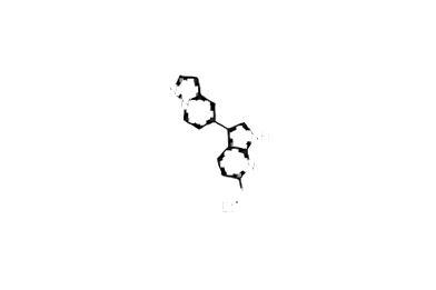 CCOc1ccc2c(-c3ccn4nccc4c3)c[nH]c2n1